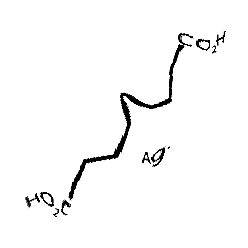 O=C(O)CCCCC(=O)O.[Ag]